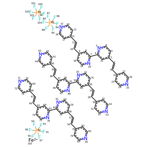 C(=Cc1ccnc(-c2cc(C=Cc3ccncc3)ccn2)c1)c1ccncc1.C(=Cc1ccnc(-c2cc(C=Cc3ccncc3)ccn2)c1)c1ccncc1.C(=Cc1ccnc(-c2cc(C=Cc3ccncc3)ccn2)c1)c1ccncc1.F[P-](F)(F)(F)(F)F.F[P-](F)(F)(F)(F)F.F[P-](F)(F)(F)(F)F.[Fe+2]